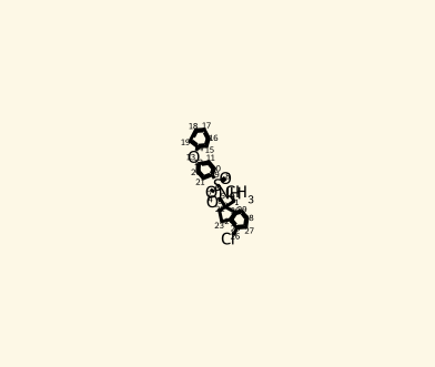 CCC1(C(=O)NS(=O)(=O)c2ccc(Oc3ccccc3)cc2)CCc2c(Cl)cccc21